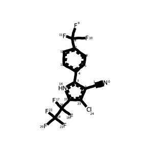 N#Cc1c(-c2ccc(C(F)(F)F)cc2)[nH]c(C(F)(F)C(F)(F)F)c1Cl